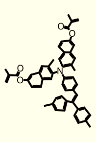 C=C(C)C(=O)Oc1ccc2cc(N(c3ccc(C=C(c4ccc(C)cc4)c4ccc(C)cc4)cc3)c3cc4ccc(OC(=O)C(=C)C)cc4cc3C)c(C)cc2c1